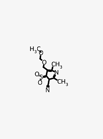 COCOCC1=C(C)N=C(C)C(C#N)C1=S(=O)=O